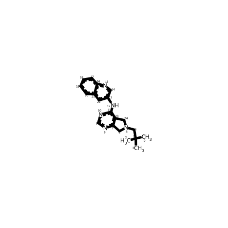 CC(C)(C)CN1Cc2ncnc(Nc3cnc4ccccc4c3)c2C1